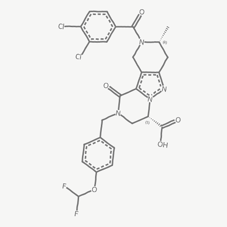 C[C@@H]1Cc2nn3c(c2CN1C(=O)c1ccc(Cl)c(Cl)c1)C(=O)N(Cc1ccc(OC(F)F)cc1)C[C@H]3C(=O)O